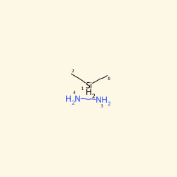 C[SiH2]C.NN